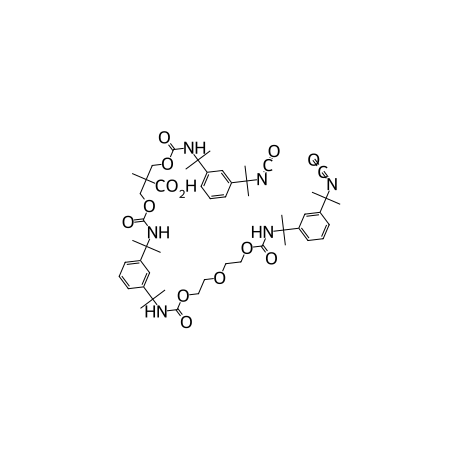 CC(COC(=O)NC(C)(C)c1cccc(C(C)(C)N=C=O)c1)(COC(=O)NC(C)(C)c1cccc(C(C)(C)NC(=O)OCCOCCOC(=O)NC(C)(C)c2cccc(C(C)(C)N=C=O)c2)c1)C(=O)O